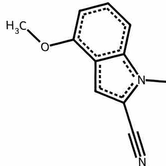 COc1cccc2c1cc(C#N)n2I